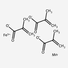 C=C(C)C(=O)[O-].C=C(C)C(=O)[O-].C=C(C)C(=O)[O-].[Fe+3].[Mn]